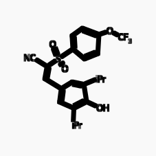 CC(C)c1cc(C=C(C#N)S(=O)(=O)c2ccc(OC(F)(F)F)cc2)cc(C(C)C)c1O